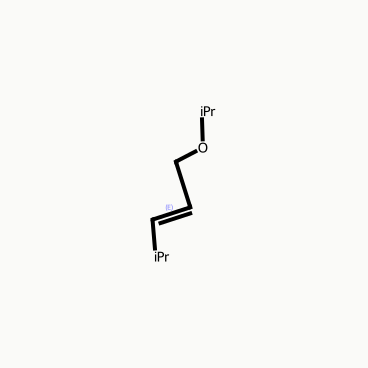 CC(C)/C=C/COC(C)C